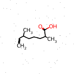 C=CC(C)CCCC(C)C(=O)O